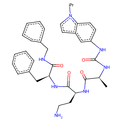 CC(C)n1ccc2cc(NC(=O)N[C@@H](C)C(=O)N[C@@H](CCN)C(=O)N[C@@H](Cc3ccccc3)C(=O)NCc3ccccc3)ccc21